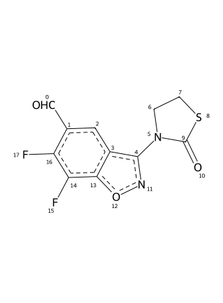 O=Cc1cc2c(N3CCSC3=O)noc2c(F)c1F